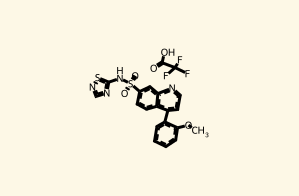 COc1ccccc1-c1ccnc2cc(S(=O)(=O)Nc3ncns3)ccc12.O=C(O)C(F)(F)F